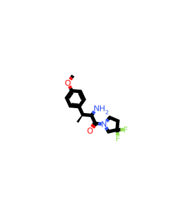 COc1ccc([C@H](C)C(N)C(=O)N2CCC(F)(F)C2)cc1